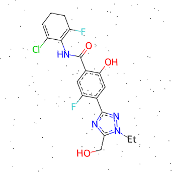 CCn1nc(-c2cc(O)c(C(=O)NC3=C(F)CCC=C3Cl)cc2F)nc1CO